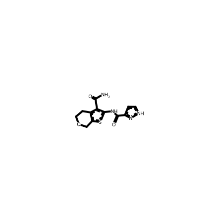 NC(=O)c1c(NC(=O)c2cc[nH]n2)sc2c1CCOC2